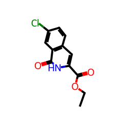 CCOC(=O)c1cc2ccc(Cl)cc2c(=O)[nH]1